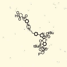 CC(C)(C)OC(=O)N(c1ccc(F)c(C(=O)c2cn(C(=O)OC(C)(C)C)c3ncc(-c4ccc(CCCN5CCN(c6ccc7c(c6)CN(C6CCC(=O)NC6=O)C7=O)CC5)cc4)cc23)c1F)[S+]([O-])N1CCC(F)C1